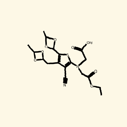 CCOC(=O)CN(CC(=O)O)c1sc(C2OC(C)O2)c(CC2OC(C)O2)c1C#N